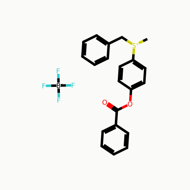 C[S+](Cc1ccccc1)c1ccc(OC(=O)c2ccccc2)cc1.F[B-](F)(F)F